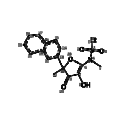 CCS(=O)(=O)N(C)C1=C(O)C(=O)C(C)(c2ccc3ccccc3c2)O1